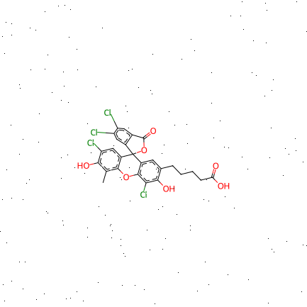 Cc1c(O)c(Cl)cc2c1Oc1c(cc(CCCCC(=O)O)c(O)c1Cl)C21OC(=O)c2cc(Cl)c(Cl)cc21